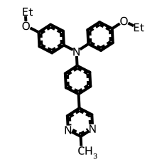 CCOc1ccc(N(c2ccc(OCC)cc2)c2ccc(-c3cnc(C)nc3)cc2)cc1